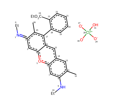 CCN=c1cc2oc3cc(NCC)c(C)cc3cc-2c(-c2ccccc2C(=O)OCC)c1C.[O-][Cl+3]([O-])([O-])O